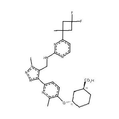 Cc1nc(-c2nnn(C)c2CNc2nccc(C3(C)CC(F)(F)C3)n2)ccc1O[C@H]1CCC[C@H](C(=O)O)C1